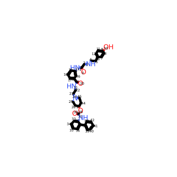 O=C(CNCCc1ccc(O)cc1)Nc1cccc(C(=O)NCCN2CCC(OC(=O)Nc3ccccc3-c3ccccc3)CC2)c1